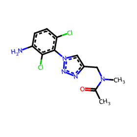 CC(=O)N(C)Cc1cn(-c2c(Cl)ccc(N)c2Cl)nn1